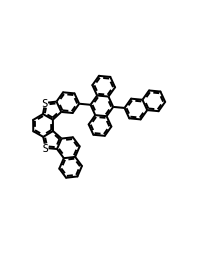 c1ccc2cc(-c3c4ccccc4c(-c4ccc5sc6ccc7sc8c9ccccc9ccc8c7c6c5c4)c4ccccc34)ccc2c1